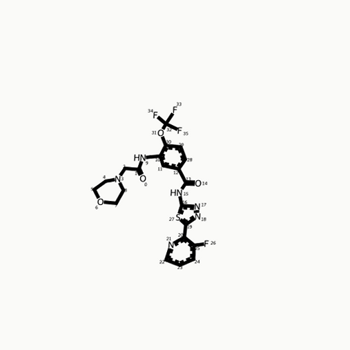 O=C(CN1CCOCC1)Nc1cc(C(=O)Nc2nnc(-c3ncccc3F)s2)ccc1OC(F)(F)F